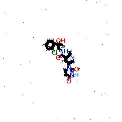 Cc1ncc(-n2ccc(=O)[nH]c2=O)cc1C(=O)NCC(C)(O)c1ccccc1Cl